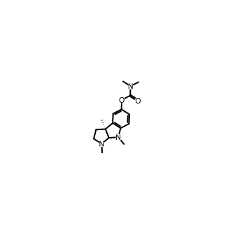 CN(C)C(=O)Oc1ccc2c(c1)[C@]1(C)CCN(C)C1N2C